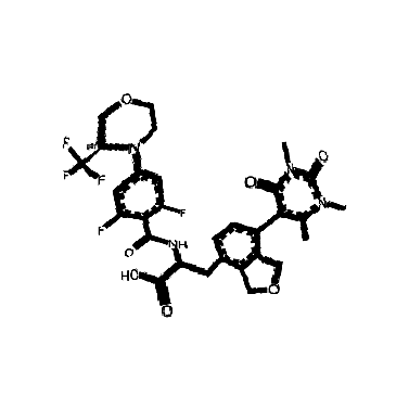 Cc1c(-c2ccc(CC(NC(=O)c3c(F)cc(N4CCOC[C@@H]4C(F)(F)F)cc3F)C(=O)O)c3c2COC3)c(=O)n(C)c(=O)n1C